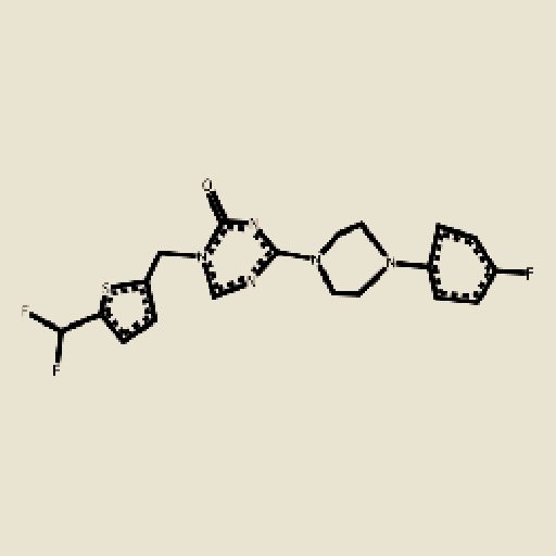 O=c1nc(N2CCN(c3ccc(F)cc3)CC2)ncn1Cc1ccc(C(F)F)s1